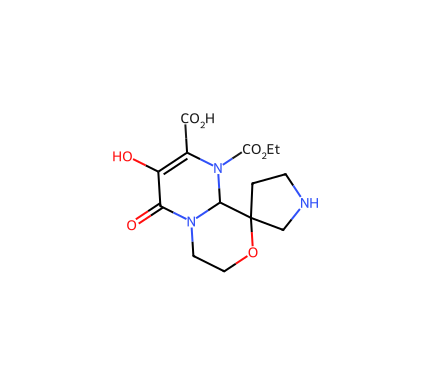 CCOC(=O)N1C(C(=O)O)=C(O)C(=O)N2CCOC3(CCNC3)C21